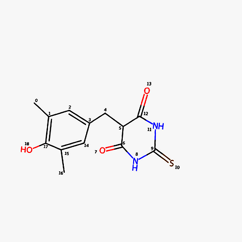 Cc1cc(CC2C(=O)NC(=S)NC2=O)cc(C)c1O